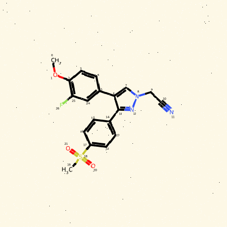 COc1ccc(-c2cn(CC#N)nc2-c2ccc(S(C)(=O)=O)cc2)cc1F